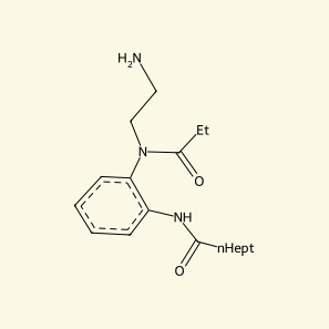 CCCCCCCC(=O)Nc1ccccc1N(CCN)C(=O)CC